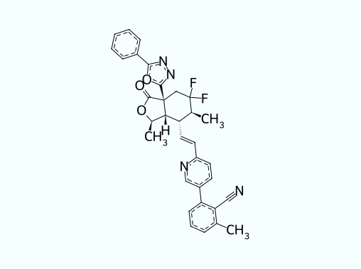 Cc1cccc(-c2ccc(/C=C/[C@@H]3[C@@H]4[C@@H](C)OC(=O)[C@]4(c4nnc(-c5ccccc5)o4)CC(F)(F)[C@H]3C)nc2)c1C#N